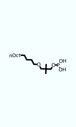 CCCCCCCCCCCCOCC(C)(C)COP(O)O